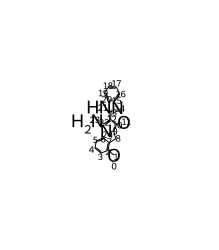 COc1cccc2c1CC1C(=O)C(c3nc4ccccc4[nH]3)=C(N)N21